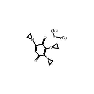 CCCCSCCCC.O=C1C=C(N2CC2)C(=O)C(N2CC2)=C1N1CC1